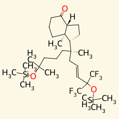 CC(C)(CCC[C@](C)(C/C=C/C(O[Si](C)(C)C)(C(F)(F)F)C(F)(F)F)[C@H]1CC[C@H]2C(=O)CCC[C@]12C)O[Si](C)(C)C